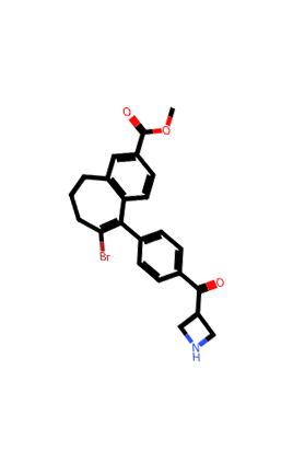 COC(=O)c1ccc2c(c1)CCCC(Br)=C2c1ccc(C(=O)C2CNC2)cc1